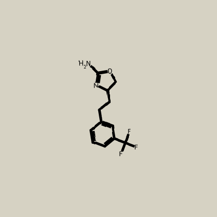 NC1=NC(CCc2cccc(C(F)(F)F)c2)CO1